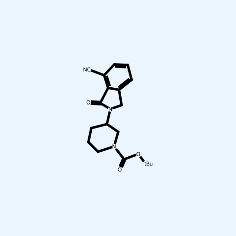 CC(C)(C)OC(=O)N1CCCC(N2Cc3cccc(C#N)c3C2=O)C1